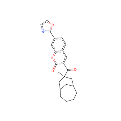 CC1(C(=O)c2cc3ccc(-c4ncco4)cc3oc2=O)CC2CCCCC(C2)C1